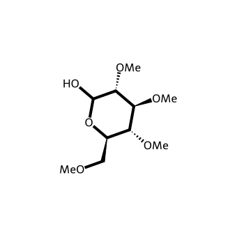 COC[C@H]1OC(O)[C@H](OC)[C@@H](OC)[C@@H]1OC